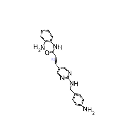 Nc1ccc(CNc2ncc(/C=C/C(=O)Nc3ccccc3N)cn2)cc1